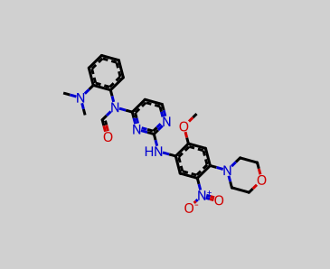 COc1cc(N2CCOCC2)c([N+](=O)[O-])cc1Nc1nccc(N(C=O)c2ccccc2N(C)C)n1